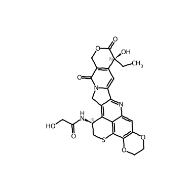 CC[C@@]1(O)C(=O)OCc2c1cc1n(c2=O)Cc2c-1nc1cc3c(c4c1c2[C@H](NC(=O)CO)CS4)OCCO3